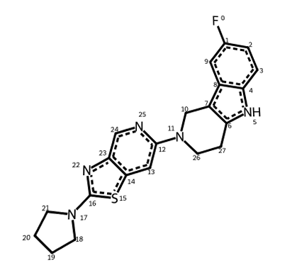 Fc1ccc2[nH]c3c(c2c1)CN(c1cc2sc(N4CCCC4)nc2cn1)CC3